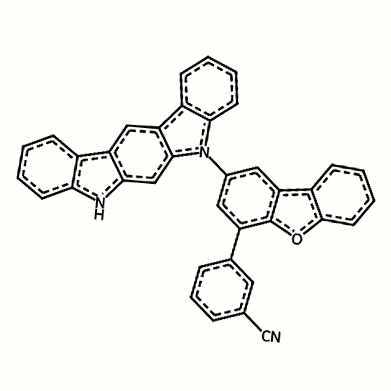 N#Cc1cccc(-c2cc(-n3c4ccccc4c4cc5c(cc43)[nH]c3ccccc35)cc3c2oc2ccccc23)c1